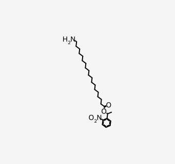 CC(OC(=O)CCCCCCCCCCCCCCCCCCN)c1ccccc1[N+](=O)[O-]